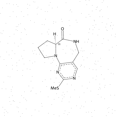 CSc1ncc2c(n1)N1CCC[C@H]1C(=O)NC2